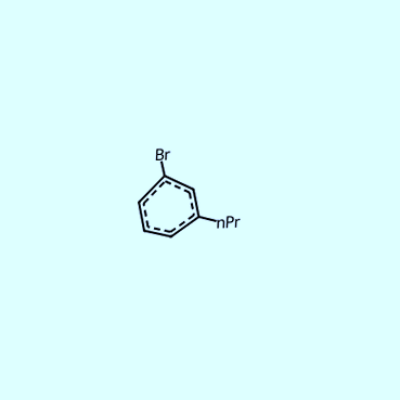 [CH]CCc1cccc(Br)c1